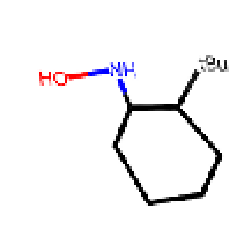 CC(C)(C)C1CCCCC1NO